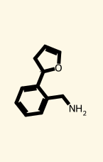 NCc1ccccc1[C]1CC=CO1